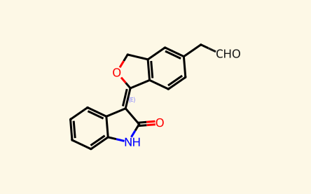 O=CCc1ccc2c(c1)CO/C2=C1/C(=O)Nc2ccccc21